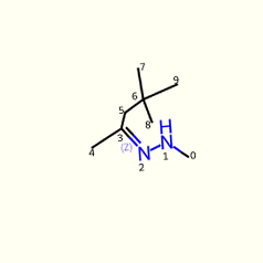 CN/N=C(/C)CC(C)(C)C